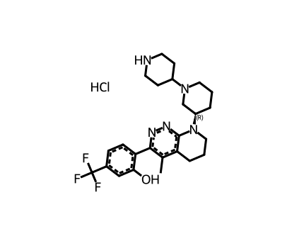 Cc1c(-c2ccc(C(F)(F)F)cc2O)nnc2c1CCCN2[C@@H]1CCCN(C2CCNCC2)C1.Cl